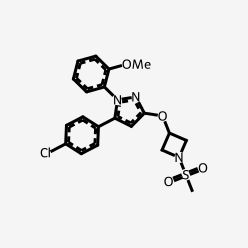 COc1ccccc1-n1nc(OC2CN(S(C)(=O)=O)C2)cc1-c1ccc(Cl)cc1